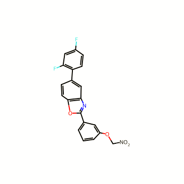 O=[N+]([O-])COc1cccc(-c2nc3cc(-c4ccc(F)cc4F)ccc3o2)c1